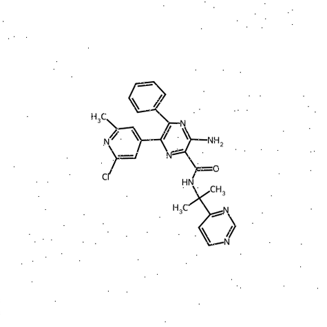 Cc1cc(-c2nc(C(=O)NC(C)(C)c3ccncn3)c(N)nc2-c2ccccc2)cc(Cl)n1